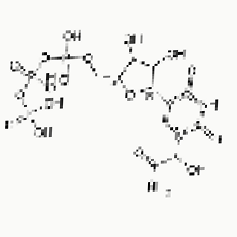 NC(=O)C(O)n1cc([C@@H]2O[C@H](COP(=O)(O)OP(=O)(O)OP(=O)(O)O)C(O)C2O)c(=O)[nH]c1=O